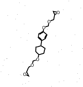 c1cc(C2CCC(OCOCC3CO3)CC2)ccc1OCOCC1CO1